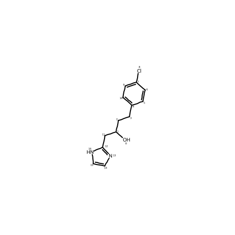 OC(CCc1ccc(Cl)cc1)Cc1ncc[nH]1